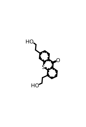 O=c1c2ccc(CCO)cc2sc2c(CCO)cccc12